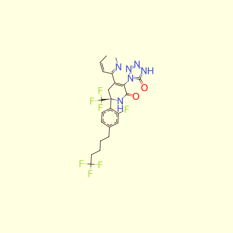 C/C=C\C(=N/C)C1=C(n2nn[nH]c2=O)C(=O)N[C@@](c2ccc(CCCCC(F)(F)F)cc2F)(C(F)(F)F)C1